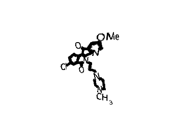 COc1cnc2c(c1)C(=O)c1c-2n(CCCN2CCN(C)CC2)c(=O)c2cc(Cl)ccc12